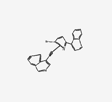 Brc1ccc(-c2cccc3ccccc23)nc1C#Cc1cncc2ccccc12